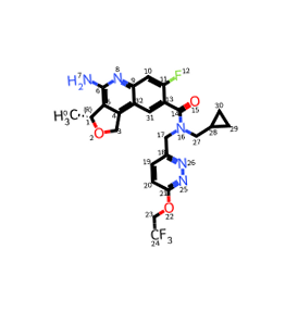 C[C@H]1OCc2c1c(N)nc1cc(F)c(C(=O)N(Cc3ccc(OCC(F)(F)F)nn3)CC3CC3)cc21